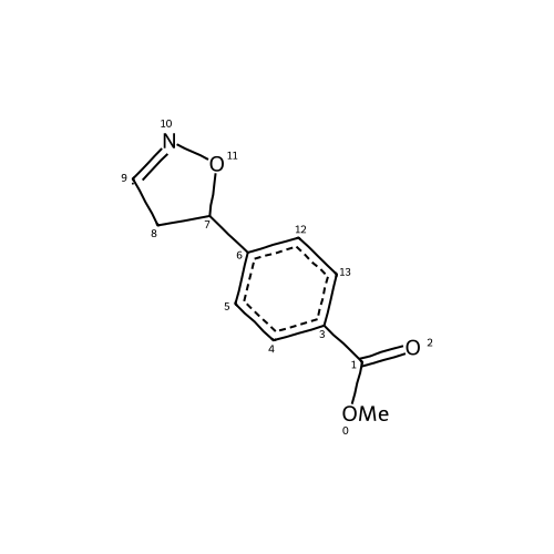 COC(=O)c1ccc(C2C[C]=NO2)cc1